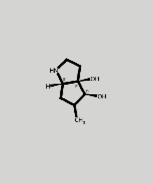 CC1C[C@@H]2NCC[C@]2(O)[C@H]1O